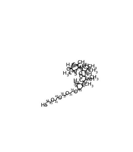 CN[C@H](C(=O)N[C@H](C(=O)N(C)C(C(C)C)C1S[C@@]1(C)C(=O)O)C(C)(C)C)C(C)(C)C1=CC=C(OCCOCCOCCOCCS)C2SC12